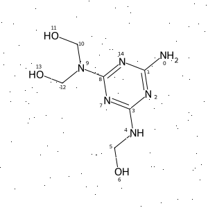 Nc1nc(NCO)nc(N(CO)CO)n1